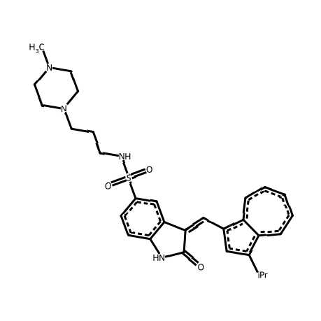 CC(C)c1cc(C=C2C(=O)Nc3ccc(S(=O)(=O)NCCCN4CCN(C)CC4)cc32)c2cccccc1-2